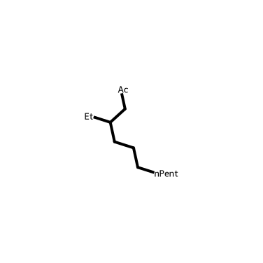 CCCCCCCCC(CC)CC(C)=O